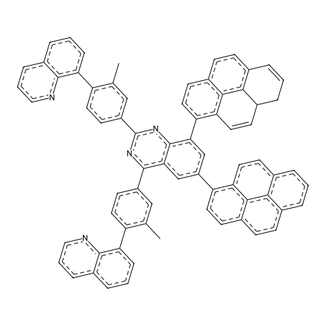 Cc1cc(-c2nc(-c3ccc(-c4cccc5cccnc45)c(C)c3)c3cc(-c4ccc5ccc6cccc7ccc4c5c67)cc(-c4ccc5ccc6c7c5c4C=CC7CC=C6)c3n2)ccc1-c1cccc2cccnc12